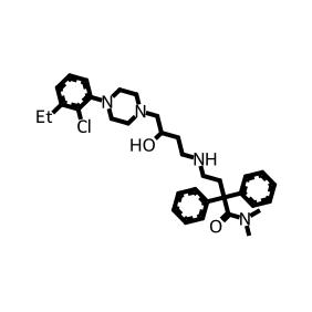 CCc1cccc(N2CCN(CC(O)CCNCCC(C(=O)N(C)C)(c3ccccc3)c3ccccc3)CC2)c1Cl